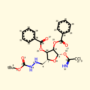 CC(C)(C)OC(=O)NNC[C@H]1O[C@@H](OC(=N)C(Cl)(Cl)Cl)C(OC(=O)c2ccccc2)C1OC(=O)c1ccccc1